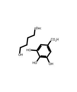 CCCCCCCCCCCCCCO.O=C(O)c1cc(O)c(O)c(O)c1